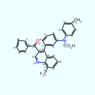 Cc1ccc(N(C(=O)O)c2cccc(-c3c(C(=O)c4ccccc4)cnc4c(C(F)(F)F)cccc34)c2)cc1